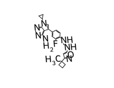 CC1(c2cc(NCNc3ccc(-c4cn(C5CC5)c5ncnc(N)c45)cc3F)on2)CCC1